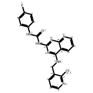 O=C(Nc1ccc(F)cc1)Nc1nc(NCc2cccnc2C(F)(F)F)c2cccnc2n1